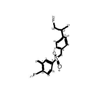 Cc1cc(S(=O)(=O)Cc2ccc(C(C)CF)cc2)ccc1F